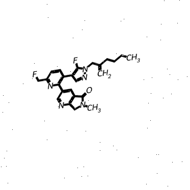 C=C(CCCC)Cn1ncc(-c2ccc(CF)nc2-c2cnc3c(c2)C(=O)N(C)C3)c1F